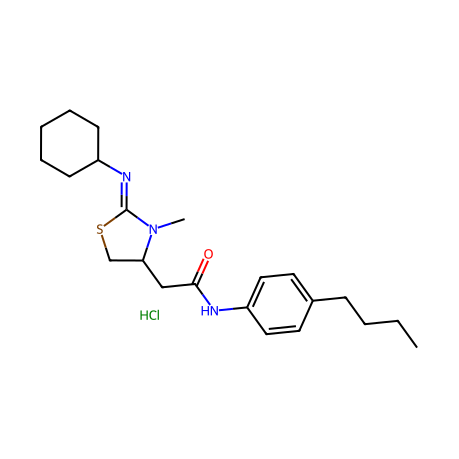 CCCCc1ccc(NC(=O)CC2CS/C(=N\C3CCCCC3)N2C)cc1.Cl